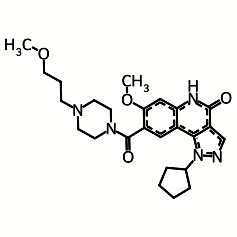 COCCCN1CCN(C(=O)c2cc3c(cc2OC)[nH]c(=O)c2cnn(C4CCCC4)c23)CC1